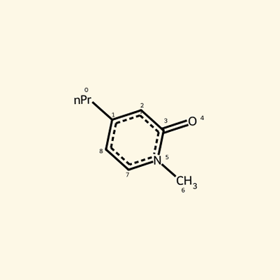 CCCc1[c]c(=O)n(C)cc1